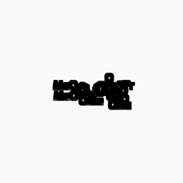 COc1ccc(CN2CCN(C(=O)[C@H](CC(C)C)NC(=O)C3(C(=O)OCC(C)C)CO3)CC2)c(OC)c1OC